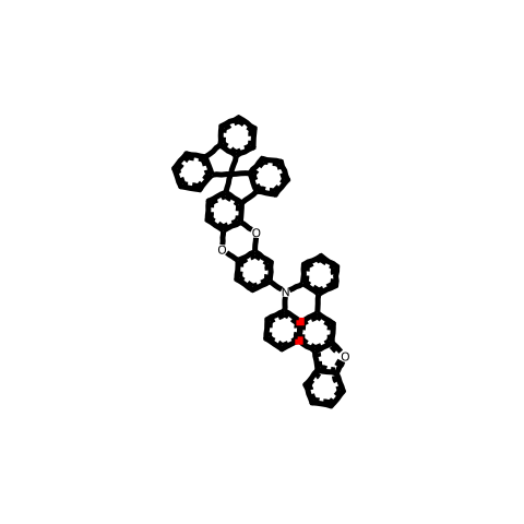 c1ccc(N(c2ccc3c(c2)Oc2c(ccc4c2-c2ccccc2C42c4ccccc4-c4ccccc42)O3)c2ccccc2-c2ccc3c(c2)oc2ccccc23)cc1